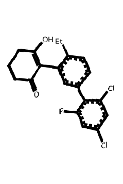 CCc1ccc(-c2c(F)cc(Cl)cc2Cl)cc1C1=C(O)CCCC1=O